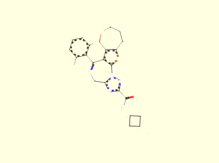 C[C@@H]1N=C(c2c(F)cccc2F)c2c(sc3c2COCCC3)-n2nc(C(=O)N[C@H]3C[C@@H](O)C3)nc21